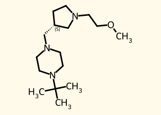 COCCN1CC[C@@H](CN2CCN(C(C)(C)C)CC2)C1